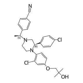 C[C@@H](c1ccc(C#N)cc1)N1CCN(c2ccc(OCC(C)(C)O)cc2Cl)[C@H](c2ccc(Cl)cc2)C1